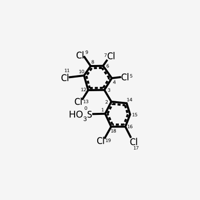 O=S(=O)(O)c1c(-c2c(Cl)c(Cl)c(Cl)c(Cl)c2Cl)ccc(Cl)c1Cl